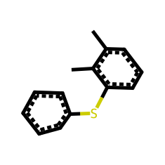 Cc1cccc(Sc2ccccc2)c1C